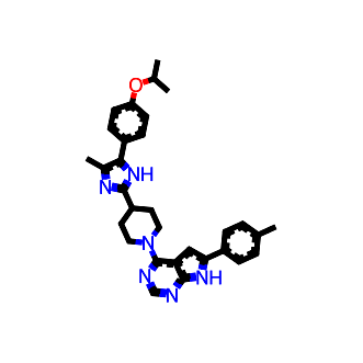 Cc1ccc(-c2cc3c(N4CCC(c5nc(C)c(-c6ccc(OC(C)C)cc6)[nH]5)CC4)ncnc3[nH]2)cc1